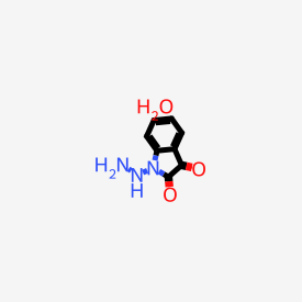 NNN1C(=O)C(=O)c2ccccc21.O